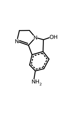 Nc1ccc2c(c1)C1=NCCN1C2O